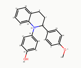 COc1ccc(C2CCc3ccccc3N2c2ccc(O)cc2)cc1